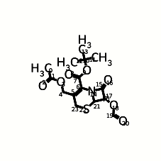 CC(=O)OCC1=C(C(=O)OC(C)(C)C)N2C(=O)[C@@H](OC=O)C2SC1